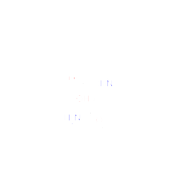 C=CC(=O)O.CCNCCC(N)=O